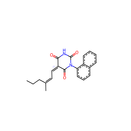 CCCC(C)=C/C=C1/C(=O)NC(=O)N(c2cccc3ccccc23)C1=O